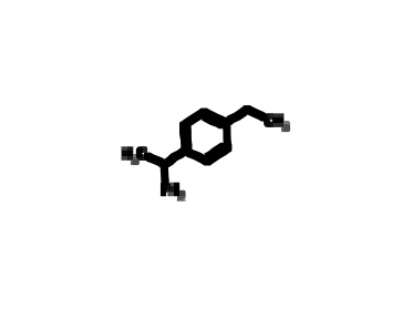 CCc1ccc(C(C)P)cc1